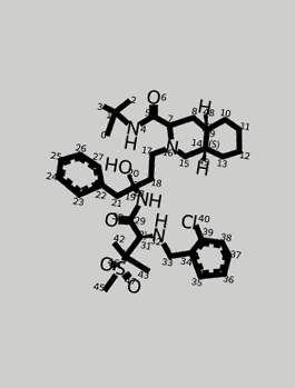 CC(C)(C)NC(=O)C1C[C@@H]2CCCC[C@@H]2CN1CC[C@@](O)(Cc1ccccc1)NC(=O)[C@@H](NCc1ccccc1Cl)C(C)(C)S(C)(=O)=O